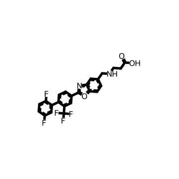 O=C(O)CCNCc1ccc2oc(-c3ccc(-c4cc(F)ccc4F)c(C(F)(F)F)c3)nc2c1